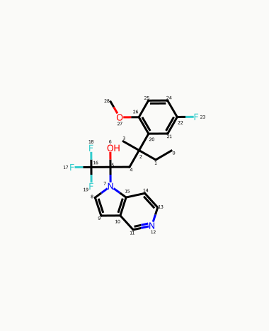 CCC(C)(CC(O)(n1ccc2cnccc21)C(F)(F)F)c1cc(F)ccc1OC